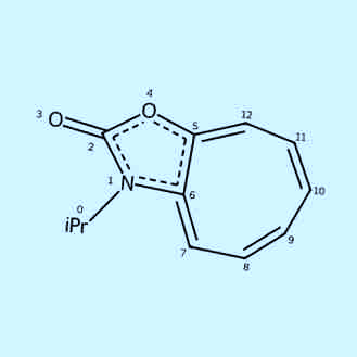 CC(C)n1c(=O)oc2/c1=C\C=C/C=C\C=2